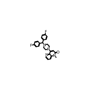 Cn1c(=O)cc(N2CCN(C(c3ccc(F)cc3)c3ccc(F)cc3)CC2)c2ncccc21